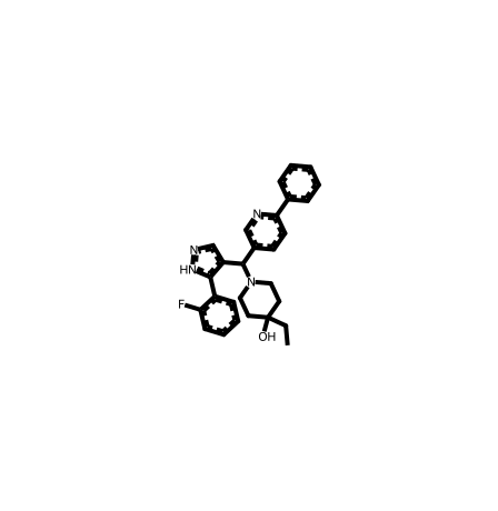 CCC1(O)CCN(C(c2ccc(-c3ccccc3)nc2)c2cn[nH]c2-c2ccccc2F)CC1